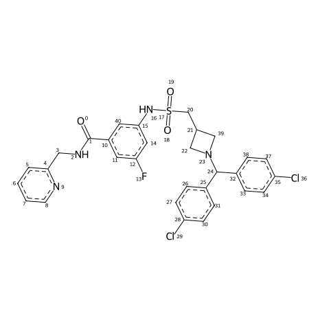 O=C(NCc1ccccn1)c1cc(F)cc(NS(=O)(=O)CC2CN(C(c3ccc(Cl)cc3)c3ccc(Cl)cc3)C2)c1